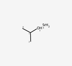 CC(C)O.[SrH2]